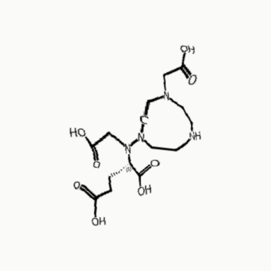 O=C(O)CC[C@@H](C(=O)O)N(CC(=O)O)N1CCNCCN(CC(=O)O)CC1